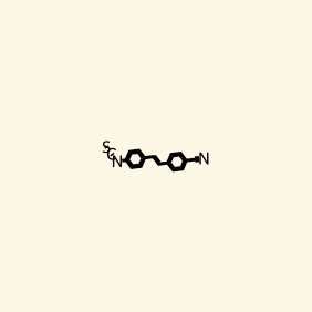 N#Cc1ccc(C=Cc2ccc(N=C=S)cc2)cc1